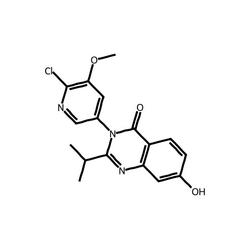 COc1cc(-n2c(C(C)C)nc3cc(O)ccc3c2=O)cnc1Cl